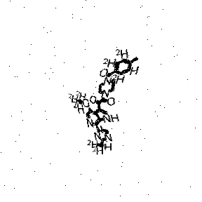 [2H]c1c([2H])c(C(=O)N2CCN(C(=O)C(=O)c3c[nH]c4c(-n5cnc(C([2H])([2H])[2H])n5)ncc(OC([2H])([2H])[2H])c34)CC2)c([2H])c([2H])c1C